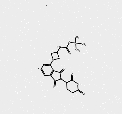 CC(C)(C)OC(=O)NC1CN(c2cccc3c2C(=O)N(C2CCC(=O)NC2=O)C3=O)C1